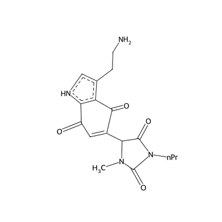 CCCN1C(=O)C(C2=CC(=O)c3[nH]cc(CCN)c3C2=O)N(C)C1=O